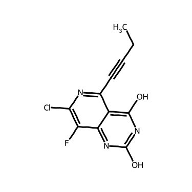 CCC#Cc1nc(Cl)c(F)c2nc(O)nc(O)c12